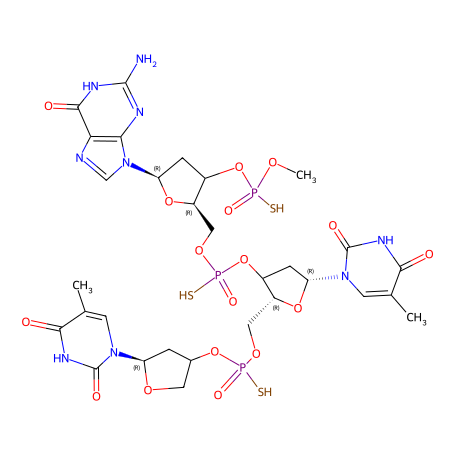 COP(=O)(S)OC1C[C@H](n2cnc3c(=O)[nH]c(N)nc32)O[C@@H]1COP(=O)(S)OC1C[C@H](n2cc(C)c(=O)[nH]c2=O)O[C@@H]1COP(=O)(S)OC1CO[C@@H](n2cc(C)c(=O)[nH]c2=O)C1